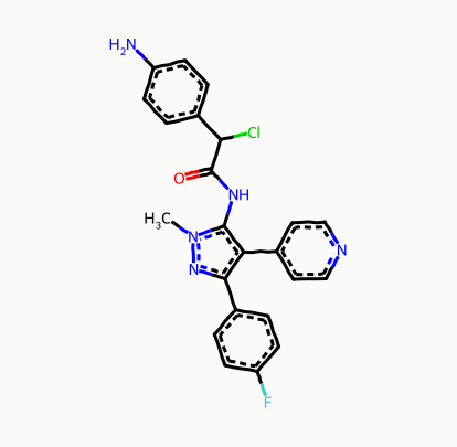 Cn1nc(-c2ccc(F)cc2)c(-c2ccncc2)c1NC(=O)C(Cl)c1ccc(N)cc1